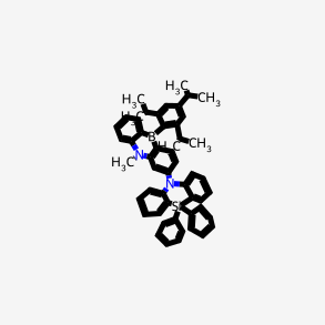 CC(C)c1cc(C(C)C)c(B2c3ccccc3N(C)c3cc(N4c5ccccc5[Si](c5ccccc5)(c5ccccc5)c5ccccc54)ccc32)c(C(C)C)c1